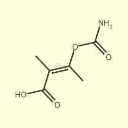 C/C(OC(N)=O)=C(/C)C(=O)O